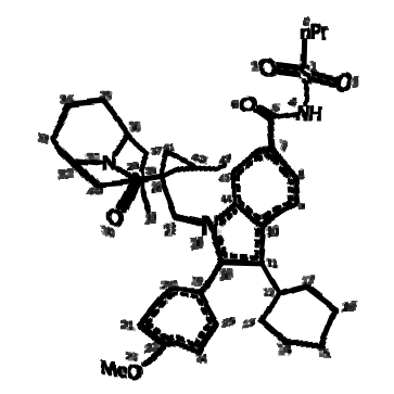 CCCS(=O)(=O)NC(=O)c1ccc2c(C3CCCCC3)c(-c3ccc(OC)cc3)n(CC3(C(=O)N4C5CCCC4CN(C)C5)CC3C)c2c1